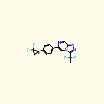 CC(F)(F)c1nnc2cnc(-c3ccc([C@H]4CC4(F)F)cc3)cn12